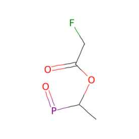 CC(OC(=O)CF)P=O